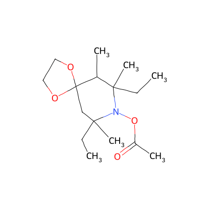 CCC1(C)CC2(OCCO2)C(C)C(C)(CC)N1OC(C)=O